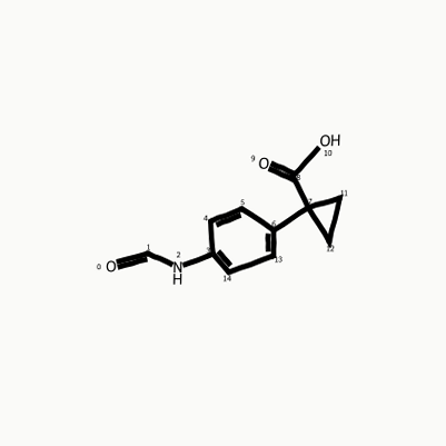 O=CNc1ccc(C2(C(=O)O)CC2)cc1